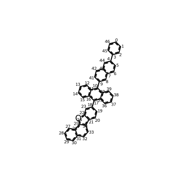 c1ccc(-c2ccc3cc(-c4c5ccccc5c(-c5ccc6c(c5)oc5c7ccccc7ccc65)c5ccccc45)ccc3c2)cc1